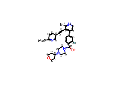 CCc1nccc(-c2ccc(C(O)N3CCN(C4CCOCC4)CC3)c(F)c2)c1C#Cc1ccc(NC)nc1